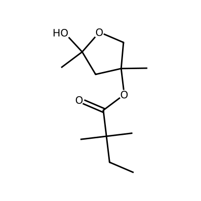 CCC(C)(C)C(=O)OC1(C)COC(C)(O)C1